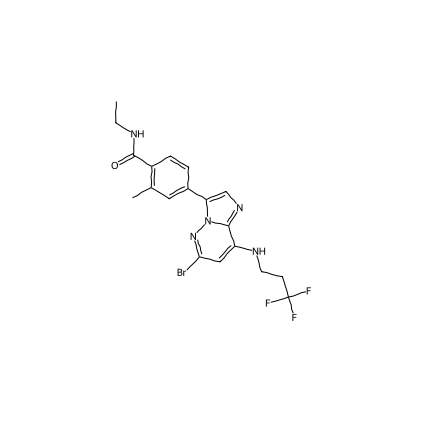 CCNC(=O)c1ccc(-c2cnc3c(NCCC(F)(F)F)cc(Br)nn23)cc1C